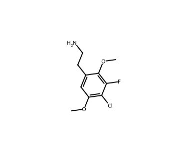 COc1cc(CCN)c(OC)c(F)c1Cl